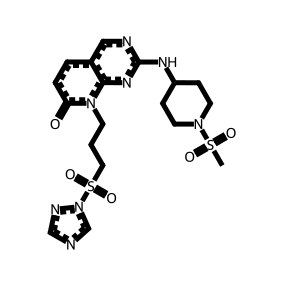 CS(=O)(=O)N1CCC(Nc2ncc3ccc(=O)n(CCCS(=O)(=O)n4cncn4)c3n2)CC1